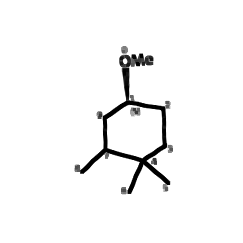 CO[C@H]1CCC(C)(C)C(C)C1